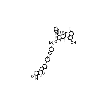 C#Cc1c(F)ccc2cc(O)cc(-c3ncc4c(N5CC6CCC(C5)N6)nc(OCC5(CN6CCC7(CC6)CC(N6CCC(c8ccc9c(c8)CN(C8CCC(=O)NC8=O)C9=O)CC6)C7)CC5)nc4c3F)c12